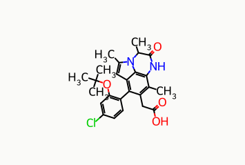 Cc1c(CC(=O)O)c(-c2ccc(Cl)cc2OC(C)(C)C)c2cc(C)n3c2c1NC(=O)C3C